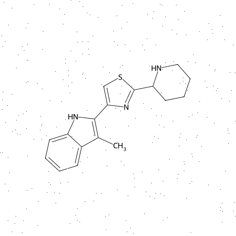 Cc1c(-c2csc(C3CCCCN3)n2)[nH]c2ccccc12